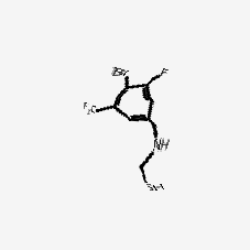 Fc1cc(NCS)cc(C(F)(F)F)c1Br